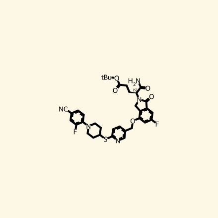 CC(C)(C)OC(=O)CC[C@@H](C(N)=O)N1Cc2c(OCc3ccc(SC4CCN(c5ccc(C#N)cc5F)CC4)nc3)cc(F)cc2C1=O